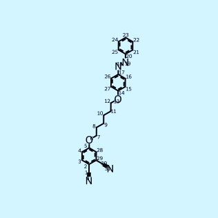 N#Cc1ccc(OCCCCCCOc2ccc(N=Nc3ccccc3)cc2)cc1C#N